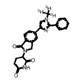 [2H]C([2H])([2H])n1cc(-c2ccc3c(c2)CN(C2CCC(=O)NC2=O)C3=O)nc1-c1ccccc1